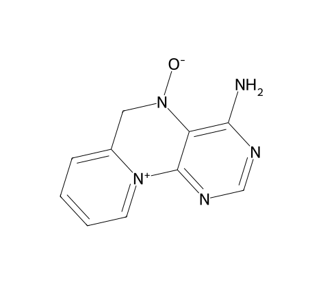 Nc1ncnc2c1N([O-])Cc1cccc[n+]1-2